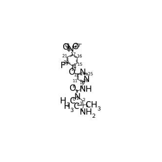 CN(CC(C)(C)N)C(=O)Nc1cc(Oc2ccc([N+](=O)[O-])cc2F)ncn1